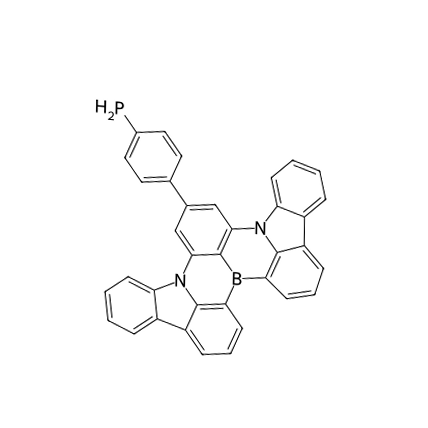 Pc1ccc(-c2cc3c4c(c2)-n2c5ccccc5c5cccc(c52)B4c2cccc4c5ccccc5n-3c24)cc1